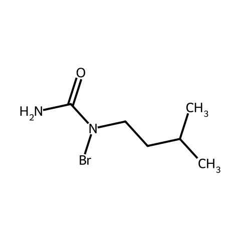 CC(C)CCN(Br)C(N)=O